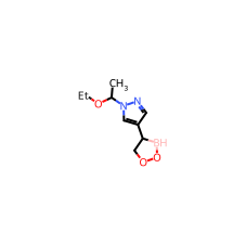 CCOC(C)n1cc(C2BOOC2)cn1